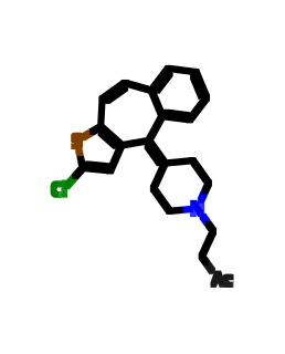 CC(=O)CCN1CCC(=C2c3ccccc3C=Cc3sc(Cl)cc32)CC1